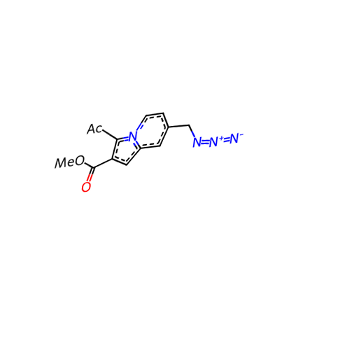 COC(=O)c1cc2cc(CN=[N+]=[N-])ccn2c1C(C)=O